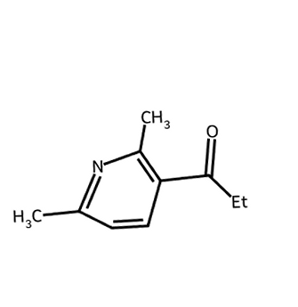 CCC(=O)c1ccc(C)nc1C